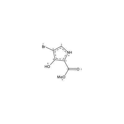 COC(=O)c1[nH]cc(Br)c1O